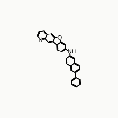 c1ccc(-c2ccc3cc(Nc4ccc5c(c4)oc4cc6cccnc6cc45)ccc3c2)cc1